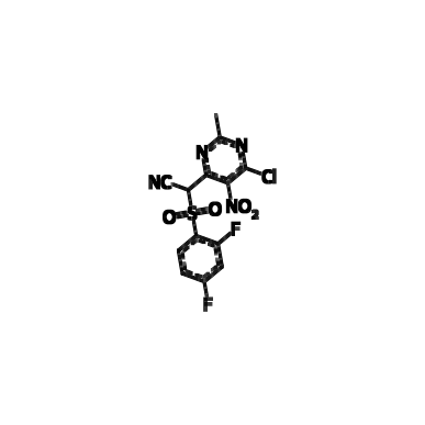 Cc1nc(Cl)c([N+](=O)[O-])c(C(C#N)S(=O)(=O)c2ccc(F)cc2F)n1